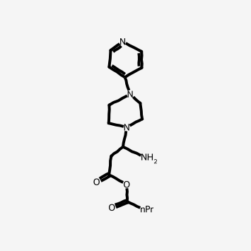 CCCC(=O)OC(=O)CC(N)N1CCN(c2ccncc2)CC1